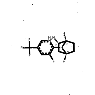 N[C@@H]1C[C@H]2CC[C@@H]1N2c1ncc(C(F)(F)F)cc1F